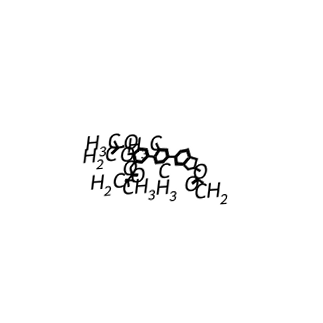 C=CC(=O)OC1Cc2ccc(-c3cc(C)c(-c4ccc(OC(=O)C(=C)C)c(OC(=O)C(=C)C)c4)cc3C)cc2C1